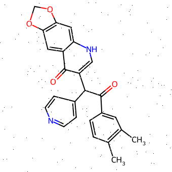 Cc1ccc(C(=O)C(c2ccncc2)c2c[nH]c3cc4c(cc3c2=O)OCO4)cc1C